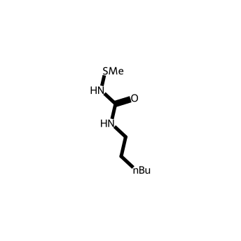 CCCCCCNC(=O)NSC